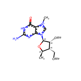 COC[C@H]1[C@@H](OC)[C@H](n2c[n+](C)c3c(=O)[nH]c(N)nc32)O[C@@H]1C